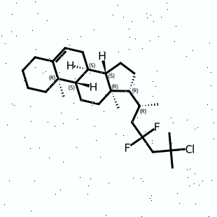 C[C@H](CC(F)(F)CC(C)(C)Cl)[C@H]1CC[C@H]2[C@@H]3CC=C4CCCC[C@]4(C)[C@H]3CC[C@]12C